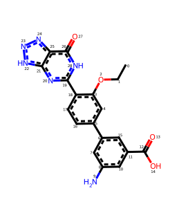 CCOc1cc(-c2cc(N)cc(C(=O)O)c2)ccc1-c1nc2[nH]nnc2c(=O)[nH]1